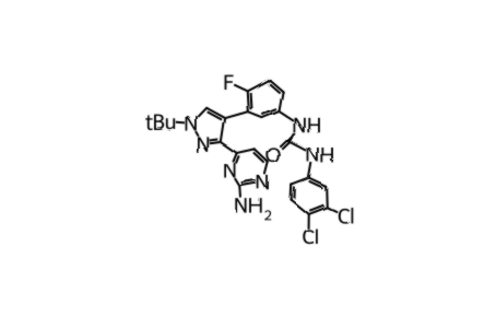 CC(C)(C)n1cc(-c2cc(NC(=O)Nc3ccc(Cl)c(Cl)c3)ccc2F)c(-c2ccnc(N)n2)n1